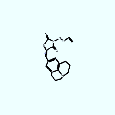 C=COON1C(=O)/C(=C\c2cc3c4c(c2)CCCN4CCC3)SC1=S